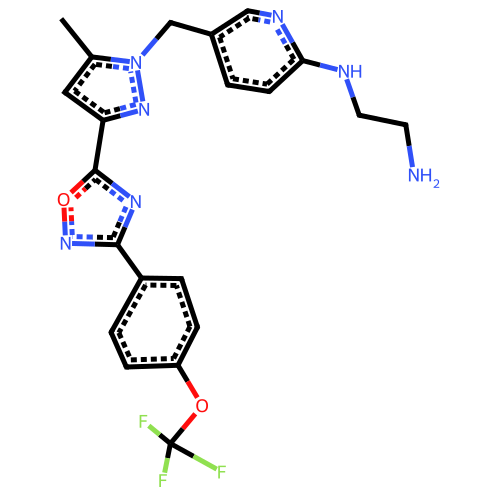 Cc1cc(-c2nc(-c3ccc(OC(F)(F)F)cc3)no2)nn1Cc1ccc(NCCN)nc1